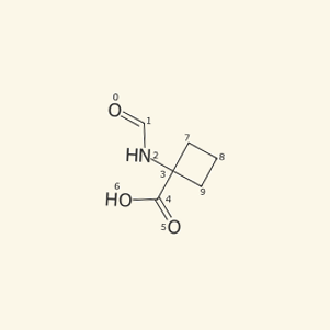 O=CNC1(C(=O)O)CCC1